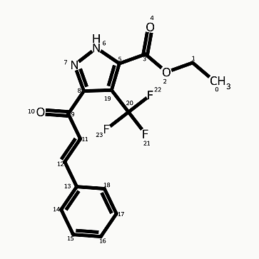 CCOC(=O)c1[nH]nc(C(=O)C=Cc2ccccc2)c1C(F)(F)F